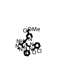 COC(=O)c1ccnc(C#Cc2c(N)ncnc2NC(C)c2nc3cccc(Cl)c3c(=O)n2-c2ccccc2)c1